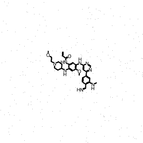 C=CC(=O)Nc1cc(Nc2cc(-c3ccc(C=N)c(NC)c3)ncn2)c(OC)cc1NC1CCN(CCOC)CC1